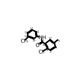 Cc1ccc(Cl)c(C(=O)Nc2cccc(Cl)c2)c1